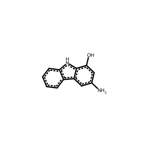 Nc1cc(O)c2[nH]c3ccccc3c2c1